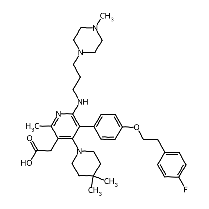 Cc1nc(NCCCN2CCN(C)CC2)c(-c2ccc(OCCc3ccc(F)cc3)cc2)c(N2CCC(C)(C)CC2)c1CC(=O)O